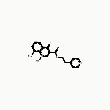 CCCn1cc(C(=O)NCCc2ccncc2)c(=O)c2cccc(C(F)(F)F)c21